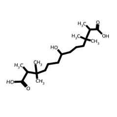 CC(C(=O)O)C(C)(C)CCCC(O)CCCC(C)(C)C(C)C(=O)O